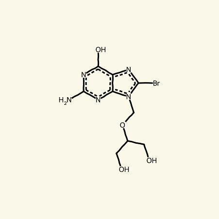 Nc1nc(O)c2nc(Br)n(COC(CO)CO)c2n1